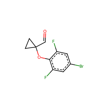 O=CC1(Oc2c(F)cc(Br)cc2F)CC1